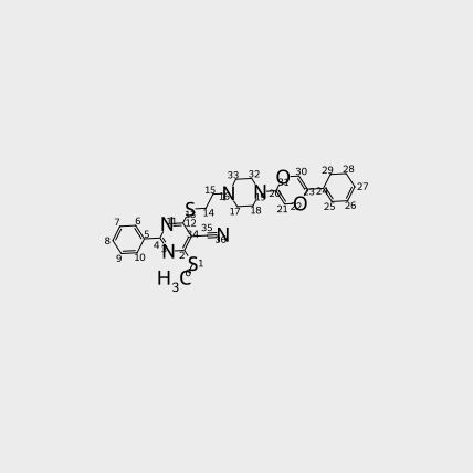 CSc1nc(-c2ccccc2)nc(SCCN2CCN(C3=COC(C4=CC=CCC4)=CO3)CC2)c1C#N